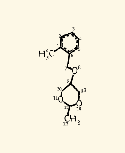 Cc1ccccc1COC1COC(C)OC1